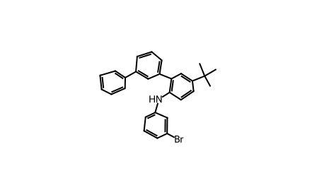 CC(C)(C)c1ccc(Nc2cccc(Br)c2)c(-c2cccc(-c3ccccc3)c2)c1